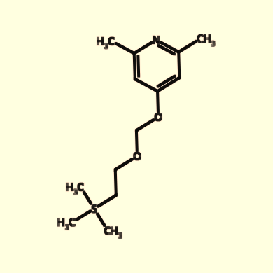 Cc1cc(OCOCCS(C)(C)C)cc(C)n1